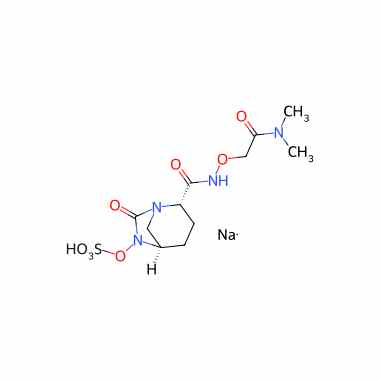 CN(C)C(=O)CONC(=O)[C@@H]1CC[C@@H]2CN1C(=O)N2OS(=O)(=O)O.[Na]